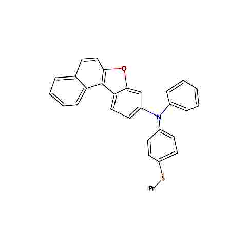 CC(C)Sc1ccc(N(c2ccccc2)c2ccc3c(c2)oc2ccc4ccccc4c23)cc1